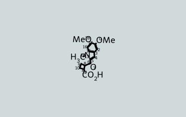 COc1cc2cc(C(=O)C3CCC3C(=O)O)n(C)c2cc1OC